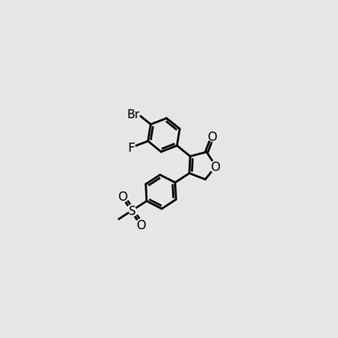 CS(=O)(=O)c1ccc(C2=C(c3ccc(Br)c(F)c3)C(=O)OC2)cc1